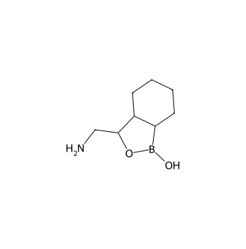 NCC1OB(O)C2CCCCC12